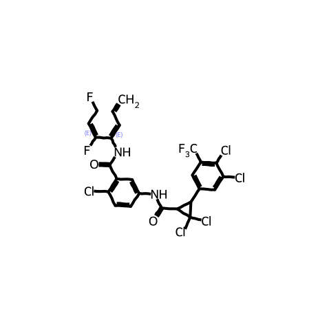 C=C/C=C(NC(=O)c1cc(NC(=O)C2C(c3cc(Cl)c(Cl)c(C(F)(F)F)c3)C2(Cl)Cl)ccc1Cl)\C(F)=C/CF